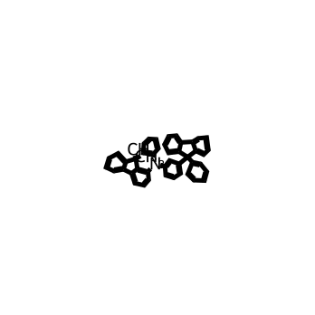 CC1(C)c2ccccc2-c2cccc(N(c3ccccc3)c3cccc(C4(c5ccccc5)c5ccccc5-c5ccccc54)c3)c21